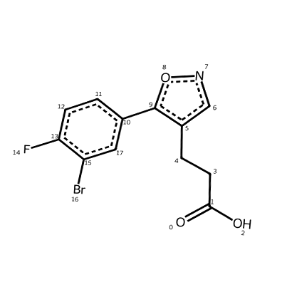 O=C(O)CCc1cnoc1-c1ccc(F)c(Br)c1